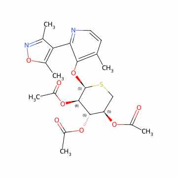 CC(=O)O[C@@H]1[C@@H](OC(C)=O)[C@@H](Oc2c(C)ccnc2-c2c(C)noc2C)SC[C@H]1OC(C)=O